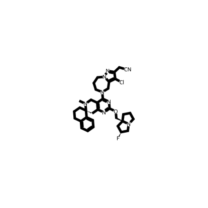 CN1Cc2c(nc(OC[C@@]34CCCN3C[C@H](F)C4)nc2N2CCCn3nc(CC#N)c(Cl)c3C2)C[C@]12CCCc1ccccc12